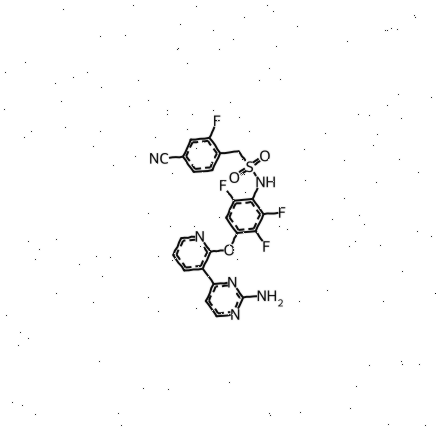 N#Cc1ccc(CS(=O)(=O)Nc2c(F)cc(Oc3ncccc3-c3ccnc(N)n3)c(F)c2F)c(F)c1